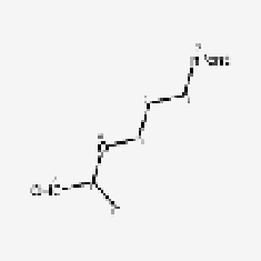 [CH2]C(C=O)OCCCCCCCC